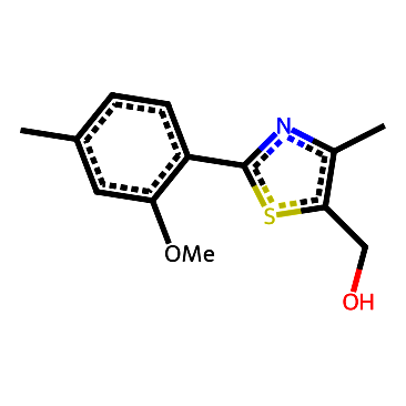 COc1cc(C)ccc1-c1nc(C)c(CO)s1